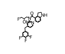 O=C(c1cccc2c1CCN2)N(C[C@@H](O)CF)c1cc(Cc2cc(F)c(F)c(F)c2)ccn1